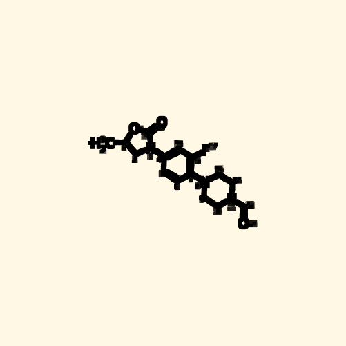 [CH2]C1CN(c2ccc(N3CCN(C=O)CC3)c(F)c2)C(=O)O1